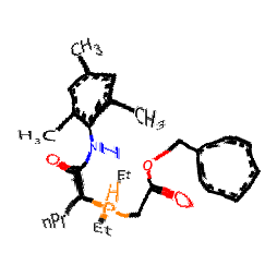 CCCC(C(=O)Nc1c(C)cc(C)cc1C)[PH](CC)(CC)CC(=O)OCc1ccccc1